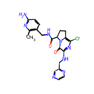 Cc1nc(N)ccc1CNC(=O)C1CCc2c(Cl)nc(NCc3cnccn3)c(=O)n21